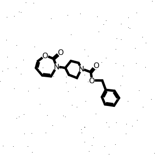 O=C(OCc1ccccc1)N1CCC(N2C=CC=COC2=O)CC1